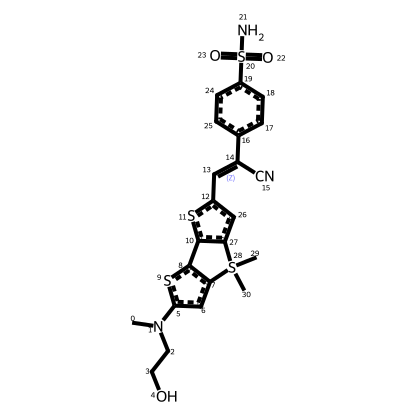 CN(CCO)c1cc2c(s1)-c1sc(/C=C(\C#N)c3ccc(S(N)(=O)=O)cc3)cc1S2(C)C